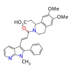 COc1cc2c(cc1OC)C(CC(=O)O)N(C(=O)C=Cc1c(-c3ccccc3)n(C)c3ncccc13)CC2